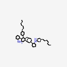 C=C/C=C\C=C/Cc1ccc(-c2c(-c3ccccc3N)ccc3c2CC2=CC=C(c4ccccc4NC4=CCC(/C=C/C=C\C=C/C)C=C4)C=C3C2)cc1